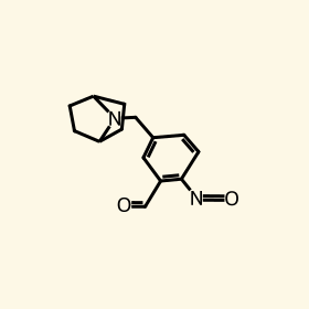 O=Cc1cc(CN2C3CCC2CC3)ccc1N=O